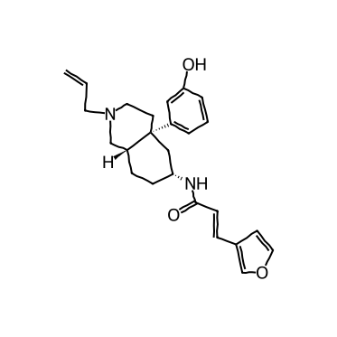 C=CCN1CC[C@@]2(c3cccc(O)c3)C[C@H](NC(=O)C=Cc3ccoc3)CC[C@@H]2C1